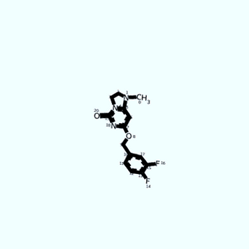 CN1CCn2c1cc(OCc1ccc(F)c(F)c1)nc2=O